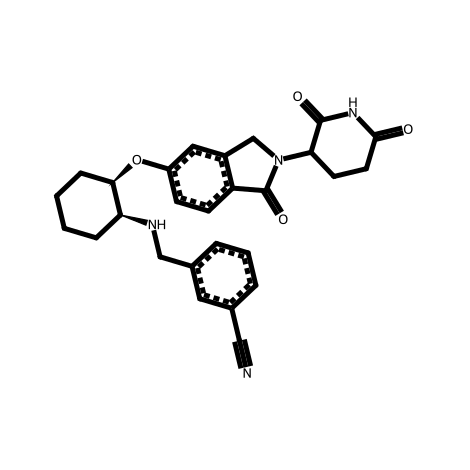 N#Cc1cccc(CN[C@H]2CCCC[C@H]2Oc2ccc3c(c2)CN(C2CCC(=O)NC2=O)C3=O)c1